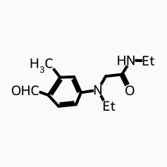 CCNC(=O)CN(CC)c1ccc(C=O)c(C)c1